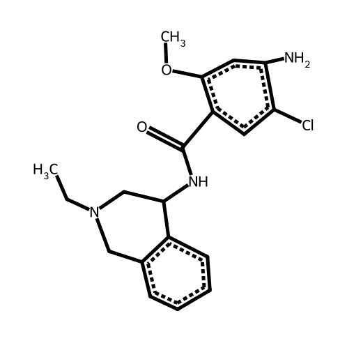 CCN1Cc2ccccc2C(NC(=O)c2cc(Cl)c(N)cc2OC)C1